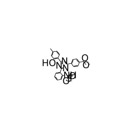 COC(=O)c1ccc(-c2nc(-c3ccc(C)cc3O)nc(-c3ccccc3NS(C)(=O)=O)n2)cc1